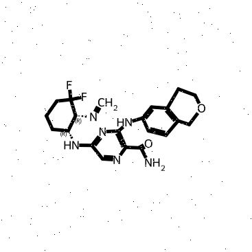 C=N[C@@H]1[C@H](Nc2cnc(C(N)=O)c(Nc3ccc4c(c3)CCOC4)n2)CCCC1(F)F